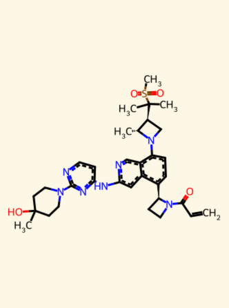 C=CC(=O)N1CC[C@H]1c1ccc(N2C[C@H](C(C)(C)S(C)(=O)=O)[C@H]2C)c2cnc(Nc3ccnc(N4CCC(C)(O)CC4)n3)cc12